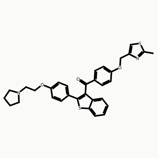 Cc1nc(COc2ccc(C(=O)c3c(-c4ccc(OCCN5CCCC5)cc4)sc4ccccc34)cc2)cs1